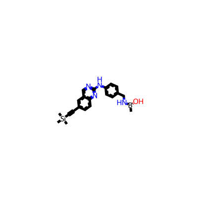 CB(O)NCc1ccc(Nc2ncc3cc(C#C[Si](C)(C)C)ccc3n2)cc1